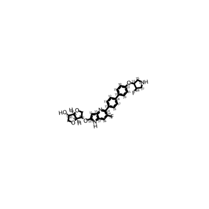 O[C@@H]1CO[C@H]2[C@@H]1OC[C@H]2Oc1cc2nc(-c3ccc(-c4ccc(OC5CNCC5F)cc4)cc3)c(F)cc2[nH]1